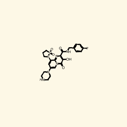 O=C(NCc1ccc(F)cc1)c1nc2c(N3CCCS3(=O)=O)cc(N3CCNCC3)cn2c(=O)c1O